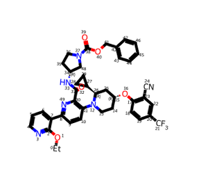 CCOc1ncccc1-c1ccc(N2CC[C@@H](Oc3ccc(C(F)(F)F)cc3C#N)C[C@@H]2C2CC2)c(C(=O)N[C@@H]2CCN(C(=O)OCc3ccccc3)C2)n1